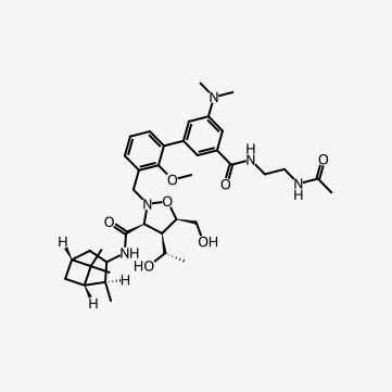 COc1c(CN2O[C@@H](CO)[C@@H]([C@H](C)O)[C@H]2C(=O)NC2C[C@H]3C[C@@H]([C@@H]2C)C3(C)C)cccc1-c1cc(C(=O)NCCNC(C)=O)cc(N(C)C)c1